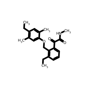 CCc1cc(C)c(OCc2c(CC)cccc2C(=O)C(=O)NC)cc1C